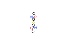 O=C(Nc1ccc(SSc2ccc(NC(=O)c3ccccc3)cc2)cc1)c1ccccc1